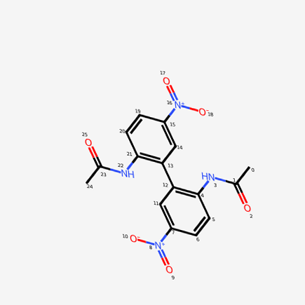 CC(=O)Nc1ccc([N+](=O)[O-])cc1-c1cc([N+](=O)[O-])ccc1NC(C)=O